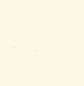 CCNC(=O)Nc1nc2nc(-n3cnc(C(=O)NC(C)=O)c3)ccc2[nH]1